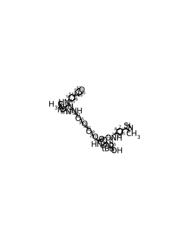 Cc1ncsc1-c1ccc(CNC(=O)[C@@H]2C[C@@H](O)CN2C(=O)[C@@H](NC(=O)COCCOCCOCCOCCNc2nc(N[C@H]3CC[C@H](N4CCOCC4)CC3)c3c(cnn3C)n2)C(C)(C)C)cc1